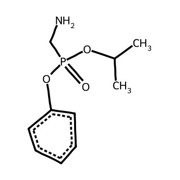 CC(C)OP(=O)(CN)Oc1ccccc1